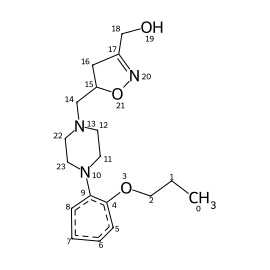 CCCOc1ccccc1N1CCN(CC2CC(CO)=NO2)CC1